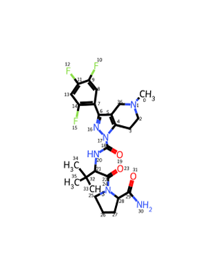 CN1CCc2c(c(-c3cc(F)c(F)cc3F)nn2C(=O)NC(C(=O)N2CCCC2C(N)=O)C(C)(C)C)C1